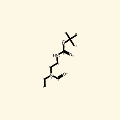 CCN(C=O)CCNC(=O)OC(C)(C)C